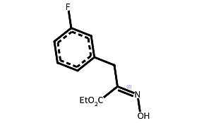 CCOC(=O)/C(Cc1cccc(F)c1)=N\O